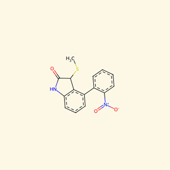 CSC1C(=O)Nc2cccc(-c3ccccc3[N+](=O)[O-])c21